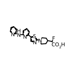 O=C(O)C(F)C1CCN(c2ncc(-c3cccc(Nc4ccccn4)n3)s2)CC1